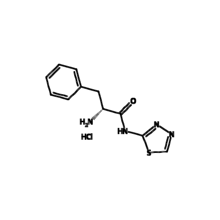 Cl.N[C@H](Cc1ccccc1)C(=O)Nc1nncs1